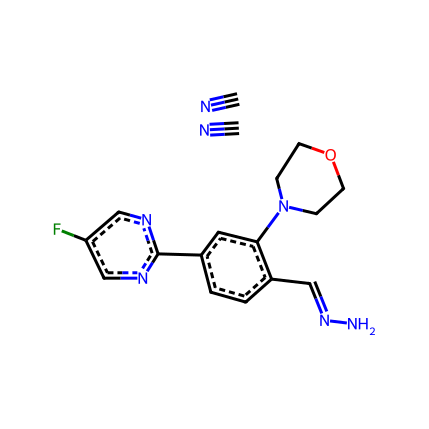 C#N.C#N.NN=Cc1ccc(-c2ncc(F)cn2)cc1N1CCOCC1